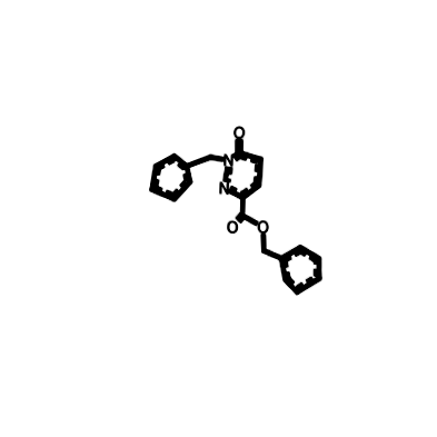 O=C(OCc1ccccc1)c1ccc(=O)n(Cc2ccccc2)n1